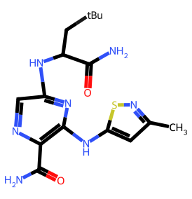 Cc1cc(Nc2nc(NC(CC(C)(C)C)C(N)=O)cnc2C(N)=O)sn1